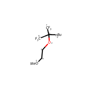 CCCCC(OCCOC)(C(F)(F)F)C(F)(F)F